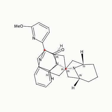 COc1cccc(-c2nc3ccccc3n([C@H]3C[C@H]4CCC[C@@H](C3)N4[C@H]3C[C@@H]4CCC[C@@H](C4)C3)c2=O)n1